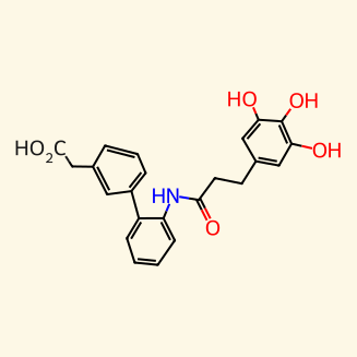 O=C(O)Cc1cccc(-c2ccccc2NC(=O)CCc2cc(O)c(O)c(O)c2)c1